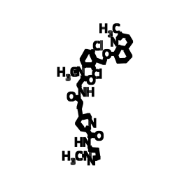 Cc1ccc2cccc(OCc3c(Cl)ccc(N(C)C(=O)CNC(=O)C=Cc4ccc(C(=O)Nc5ccnn5C)nc4)c3Cl)c2n1